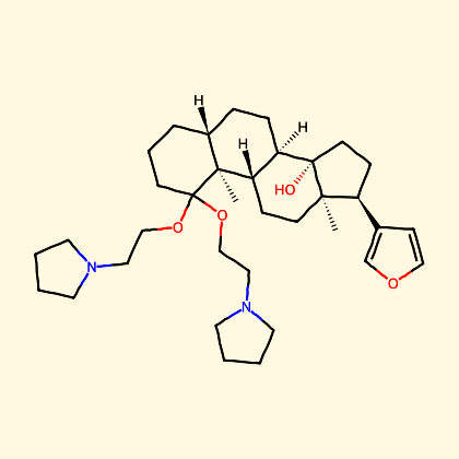 C[C@@]12[C@H](CCCC1(OCCN1CCCC1)OCCN1CCCC1)CC[C@@H]1[C@@H]2CC[C@]2(C)[C@H](c3ccoc3)CC[C@]12O